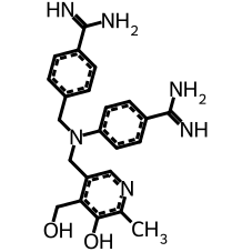 Cc1ncc(CN(Cc2ccc(C(=N)N)cc2)c2ccc(C(=N)N)cc2)c(CO)c1O